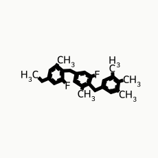 CCc1cc(C)c(Cc2cc(C)c(Cc3cc(C)c(C)c(C)c3)c(F)c2)c(F)c1